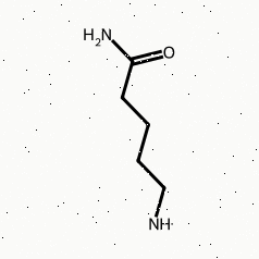 [NH]CCCCC(N)=O